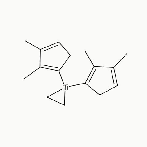 CC1=CC[C]([Ti]2([C]3=C(C)C(C)=CC3)[CH2][CH2]2)=C1C